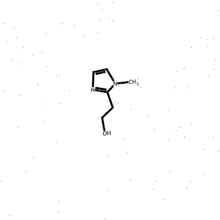 CN1C=C[N+]=C1CCO